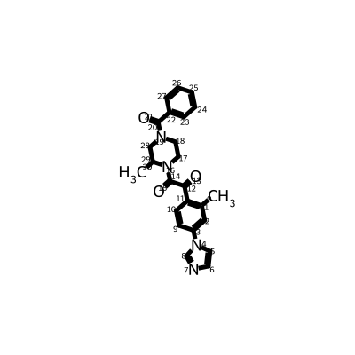 Cc1cc(-n2ccnc2)ccc1C(=O)C(=O)N1CCN(C(=O)c2ccccc2)CC1C